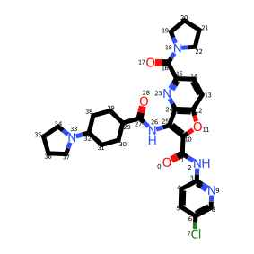 O=C(Nc1ccc(Cl)cn1)c1oc2ccc(C(=O)N3CCCC3)nc2c1NC(=O)C1CCC(N2CCCC2)CC1